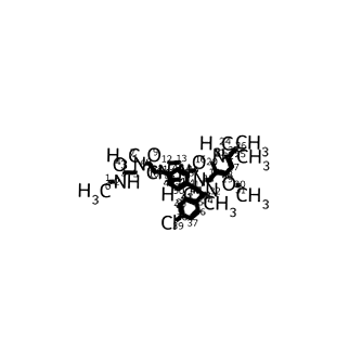 CCNC(=O)CN(C)C(=O)CN1CCN(C(=O)N2C(c3cnc(C(C)(C)C)cc3OCC)=N[C@@](C)(c3ccc(Cl)cc3)[C@@]2(C)c2ccc(Cl)cc2)CC1